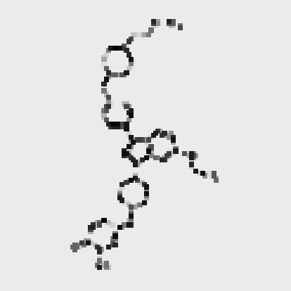 CCNc1cc2c(cn1)c(-c1ccc(CN3CCN(CCOC)CC3)cc1)nn2C1CCC(Oc2ccc(=O)n(C)n2)CC1